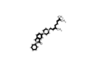 CC(C)=CCCC(C)=CCN1CCN(c2ccc3c(c2)C(=O)N(C2CCCCC2)C3)CC1